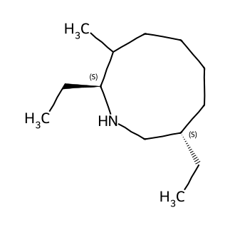 CC[C@H]1CCCCC(C)[C@H](CC)NC1